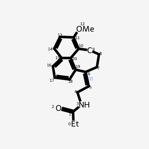 CCC(=O)NC/C=C1/CCCc2c(OC)ccc3cccc1c23